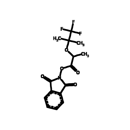 CC(OC(C)(C)C(F)(F)F)C(=O)ON1C(=O)c2ccccc2C1=O